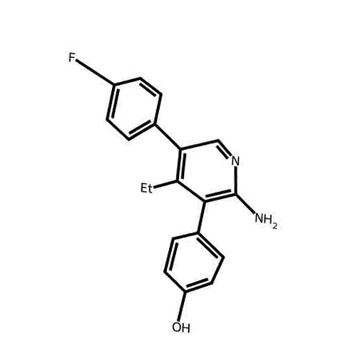 CCc1c(-c2ccc(F)cc2)cnc(N)c1-c1ccc(O)cc1